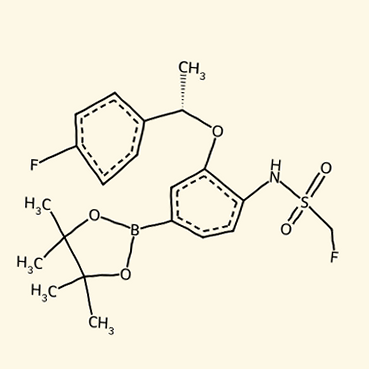 C[C@H](Oc1cc(B2OC(C)(C)C(C)(C)O2)ccc1NS(=O)(=O)CF)c1ccc(F)cc1